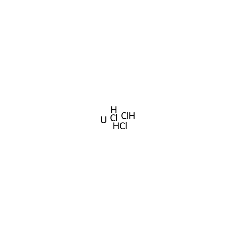 Cl.Cl.Cl.[U]